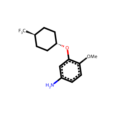 COc1ccc(N)cc1O[C@H]1CC[C@H](C(F)(F)F)CC1